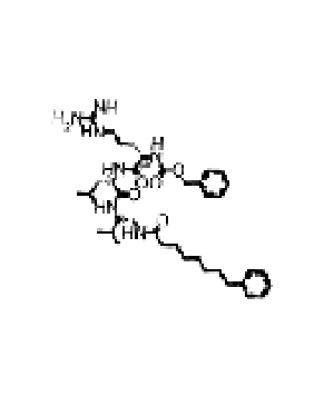 CC(C)C[C@H](NC(=O)[C@H](CCCNC(=N)N)NC(=O)OCc1ccccc1)C(=O)N[C@H](CNC(=O)CCCCCCCc1ccccc1)C(C)C